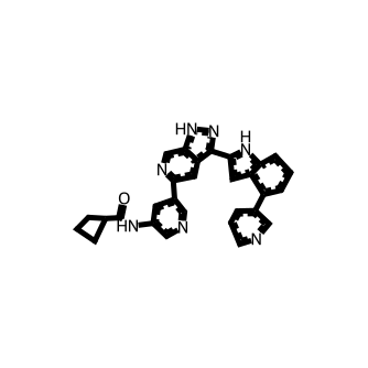 O=C(Nc1cncc(-c2cc3c(-c4cc5c(-c6cccnc6)cccc5[nH]4)n[nH]c3cn2)c1)C1CCC1